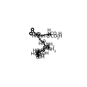 Nc1nc(N)c2c(n1)N(C1CC(O)C(COP(=O)(O)OP(=O)(O)OP(=O)(O)O)O1)CC2CNC(=O)CCSSCC(NC(=O)OCC1c2ccccc2-c2ccccc21)C(=O)NCCCCCC(=O)NC(CC(=O)O)C(=O)O